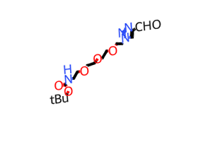 CC(C)(C)OC(=O)NCCOCCOCCOCCn1cc(C=O)nn1